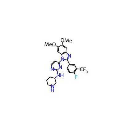 COc1cc2nc(-c3ccc(F)c(C(F)(F)F)c3)n(-c3ccnc(NC4CCCNC4)n3)c2cc1OC